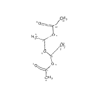 CC(=O)OC(C)OC(C)OC(C)=O